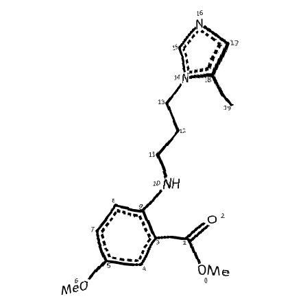 COC(=O)c1cc(OC)ccc1NCCCn1cncc1C